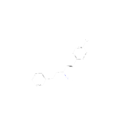 N[C@H](C=Cc1ccc([N+](=O)[O-])cc1)CCc1ccccc1